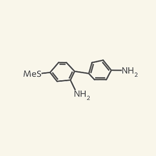 CSc1ccc(-c2ccc(N)cc2)c(N)c1